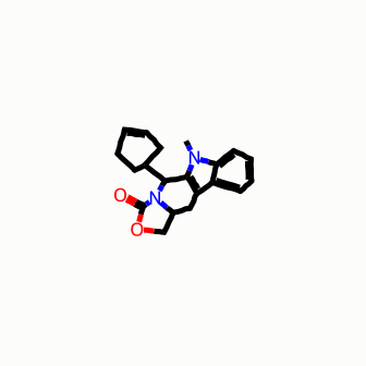 Cn1c2c(c3ccccc31)CC1COC(=O)N1C2C1CC=CCC1